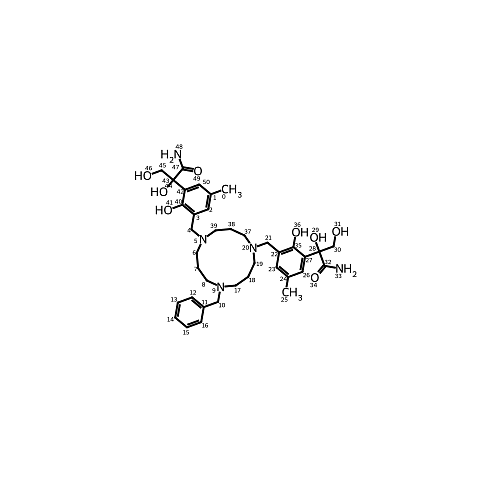 Cc1cc(CN2CCCN(Cc3ccccc3)CCCN(Cc3cc(C)cc(C(O)(CO)C(N)=O)c3O)CCC2)c(O)c(C(O)(CO)C(N)=O)c1